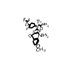 COc1ccc(C(=O)c2sc(N(c3ccc(OC(F)F)c(F)c3)[C@H](C)C(N)=O)nc2N)cc1